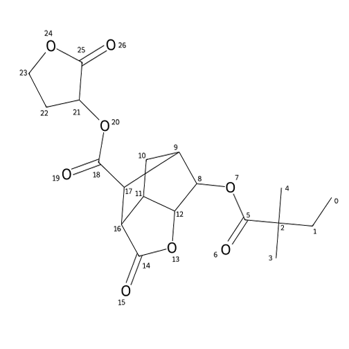 CCC(C)(C)C(=O)OC1C2CC3C1OC(=O)C3C2C(=O)OC1CCOC1=O